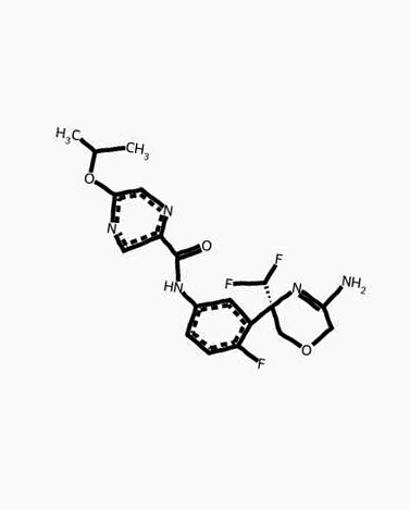 CC(C)Oc1cnc(C(=O)Nc2ccc(F)c([C@]3(C(F)F)COCC(N)=N3)c2)cn1